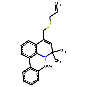 C=CCSCC1=CC(C)(C)Nc2c1cccc2-c1ccccc1OC